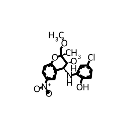 COC[C@@]1(C)Oc2ccc([N+](=O)[O-])cc2[C@H](Nc2cc(Cl)ccc2O)[C@H]1O